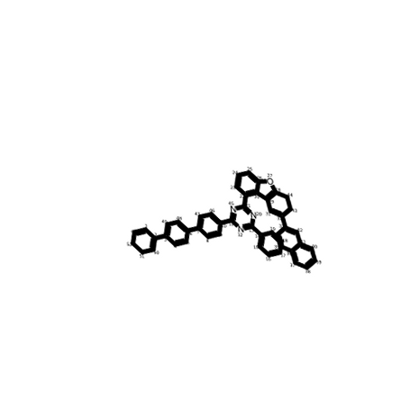 C1=CC(c2ccc(-c3ccc(-c4nc(-c5ccccc5)nc(-c5cccc6oc7c(c56)C=C(c5ccc6ccccc6c5)CC7)n4)cc3)cc2)=CCC1